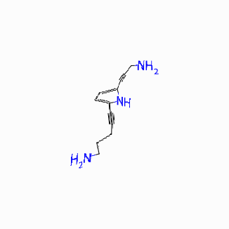 NCC#Cc1ccc(C#CCCCN)[nH]1